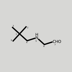 CC(C)(C)CNCC=O